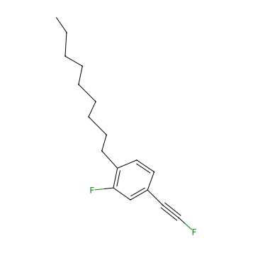 CCCCCCCCCc1ccc(C#CF)cc1F